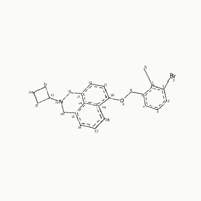 Cc1c(Br)cccc1COc1ccc2c3c(cccc13)CN(C1CCC1)C2